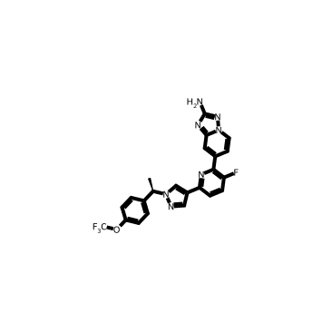 C[C@H](c1ccc(OC(F)(F)F)cc1)n1cc(-c2ccc(F)c(-c3ccn4nc(N)nc4c3)n2)cn1